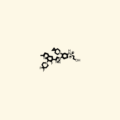 Cc1ccc2cc(-c3cn(-c4ccc(NS(=O)(=O)CCO)cc4N4CCC5(CC4)CC5)nn3)c(F)c(N3CCC(F)(F)CC3)c2n1